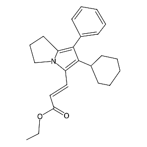 CCOC(=O)C=Cc1c(C2CCCCC2)c(-c2ccccc2)c2n1CCC2